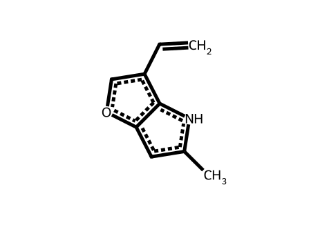 C=Cc1coc2cc(C)[nH]c12